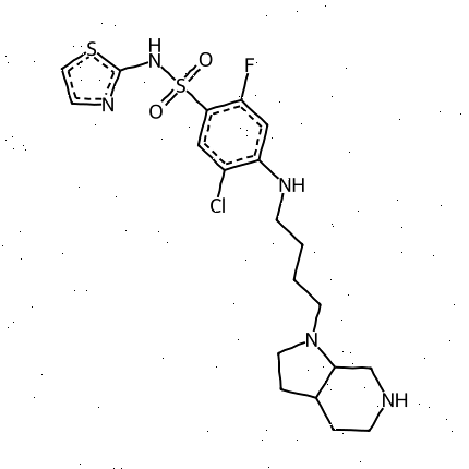 O=S(=O)(Nc1nccs1)c1cc(Cl)c(NCCCCN2CCC3CCNCC32)cc1F